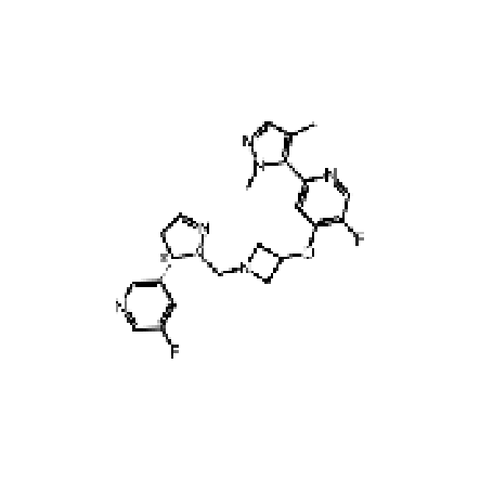 Cc1cnn(C)c1-c1cc(OC2CN(CN3N=CC[C@H]3c3cncc(F)c3)C2)c(F)cn1